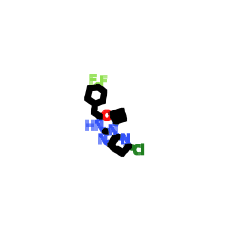 O=C(CC1CCC(F)(F)CC1)Nc1nc2ccc(Cl)nc2n1C1=CC=C1